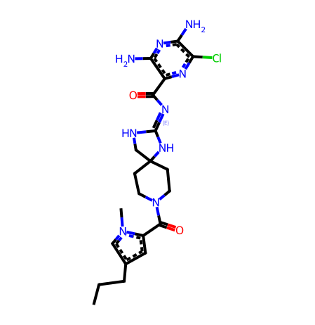 CCCc1cc(C(=O)N2CCC3(CC2)CN/C(=N\C(=O)c2nc(Cl)c(N)nc2N)N3)n(C)c1